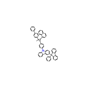 CC1(c2ccc(-c3ccccc3)cc2)C(c2ccc(-n3c4ccccc4c4cc(C5(c6ccccc6)c6ccccc6-c6ccccc65)ccc43)cc2)C1c1cccc2ccccc12